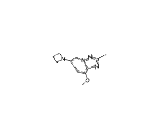 COc1cc(N2CCC2)cn2nc(C)nc12